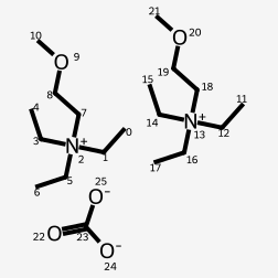 CC[N+](CC)(CC)CCOC.CC[N+](CC)(CC)CCOC.O=C([O-])[O-]